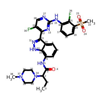 CCC(C(=O)Nc1cccc2c(-c3nc(Nc4cccc(S(C)(=O)=O)c4F)ncc3F)n[nH]c12)N1CCN(C)CC1